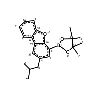 CC(C)Cc1cc(B2OC(C)(C)C(C)(C)O2)c2oc3ccccc3c2c1